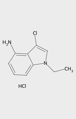 CCn1cc(Cl)c2c(N)cccc21.Cl